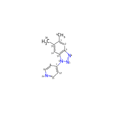 Cc1cc2nnn(-c3ccncc3)c2cc1C